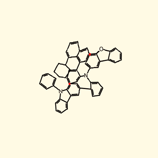 c1ccc(-n2c3ccccc3c3cc(-c4ccccc4N(c4ccc5oc6ccccc6c5c4)c4ccccc4-c4cccc5cccc(C6CCCCC6)c45)ccc32)cc1